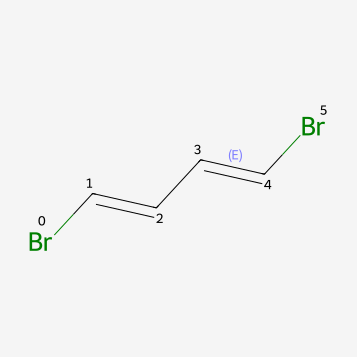 BrC=C/C=C/Br